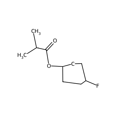 C[C](C)C(=O)OC1CCC(F)CC1